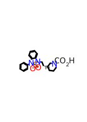 O=C(O)N1CCC[C@H](CCN2c3ccccc3N(c3ccccc3)S2(=O)=O)C1